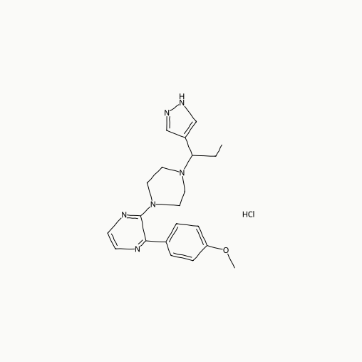 CCC(c1cn[nH]c1)N1CCN(c2nccnc2-c2ccc(OC)cc2)CC1.Cl